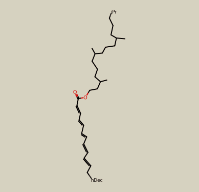 CCCCCCCCCCCC=CC=CC=CC=CC=CC(=O)OCCC(C)CCCC(C)CCCC(C)CCCC(C)C